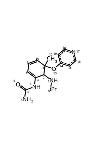 CC(C)NC1C(NC(N)=O)=CC=CC1(C)Oc1ccncc1